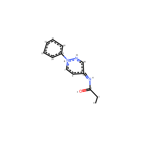 CCC(=O)N=c1ccn(-c2ccccc2)nc1